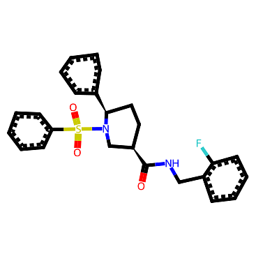 O=C(NCc1ccccc1F)[C@@H]1CC[C@H](c2ccccc2)N(S(=O)(=O)c2ccccc2)C1